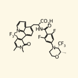 Cc1cc(C(F)(F)F)c(-c2ccc(C[C@H](NC(=O)c3c(F)cc(N4CCO[C@@H](C)[C@H]4C(F)(F)F)cc3F)C(=O)O)c3cccnc23)c(=O)n1C